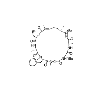 CCC(C)[C@@H]1NC(=O)CN(C)C(=O)[C@@H](Cc2ccccc2)N(C)C(=O)[C@H](C)NC(=O)[C@@H](CC(C)C)OC(=O)/C(C)=C/CC[C@H](C)[C@@H]([C@@H](C)CC)NC(=O)[C@@H](C)NC1=O